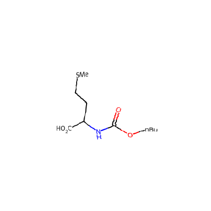 CCCCOC(=O)NC(CCSC)C(=O)O